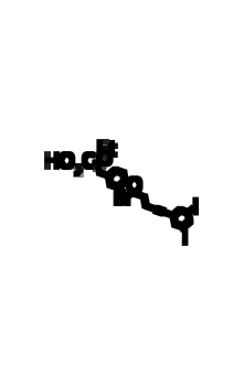 CCO[C@@H](Cc1ccc(OCC=CC#Cc2cc(I)cc(I)c2)c(Br)c1)C(=O)O